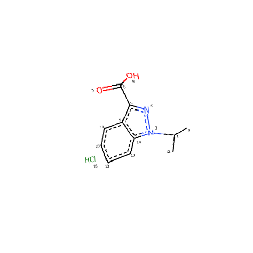 CC(C)n1nc(C(=O)O)c2ccccc21.Cl